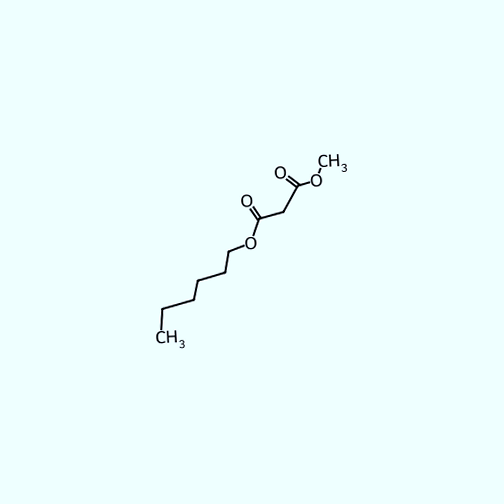 CCCCCCOC(=O)CC(=O)OC